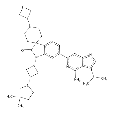 CC(C)n1cnc2cc(-c3ccc4c(c3)N([C@H]3C[C@@H](N5CCC(C)(C)C5)C3)C(=O)C43CCN(C4COC4)CC3)nc(N)c21